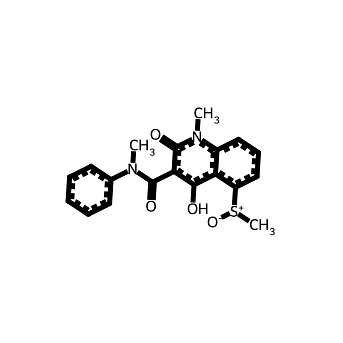 CN(C(=O)c1c(O)c2c([S+](C)[O-])cccc2n(C)c1=O)c1ccccc1